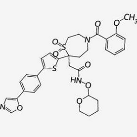 COc1ccccc1C(=O)N1CCC(CC(=O)NOC2CCCCO2)(c2ccc(-c3ccc(-c4cnco4)cc3)s2)S(=O)(=O)CC1